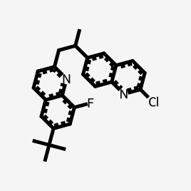 CC(Cc1ccc2cc(C(C)(C)C)cc(F)c2n1)c1ccc2nc(Cl)ccc2c1